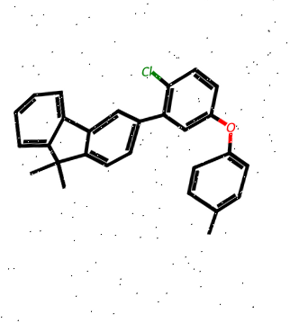 Cc1ccc(Oc2ccc(Cl)c(-c3ccc4c(c3)-c3ccccc3C4(C)C)c2)cc1